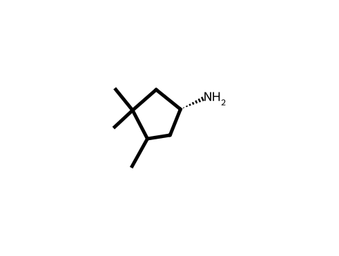 CC1C[C@@H](N)CC1(C)C